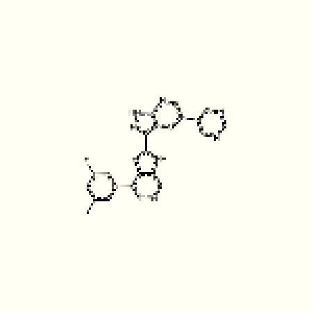 Cc1cc(F)cc(-c2cncc3[nH]c(-c4n[nH]c5ncc(-c6cncnc6)cc45)cc23)c1